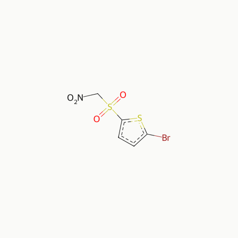 O=[N+]([O-])CS(=O)(=O)c1ccc(Br)s1